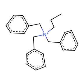 CCC[N+](Cc1ccccc1)(Cc1ccccc1)Cc1ccccc1